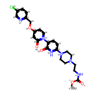 CC(C)(C)OC(=O)NCCN1CCN(c2ccc(-n3ccc(OCc4ccc(Cl)cn4)cc3=O)c(=O)[nH]2)CC1